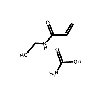 C=CC(=O)NCO.NC(=O)O